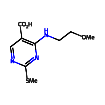 COCCNc1nc(SC)ncc1C(=O)O